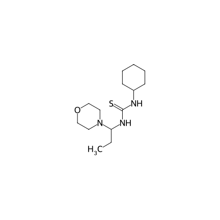 CCC(NC(=S)NC1CCCCC1)N1CCOCC1